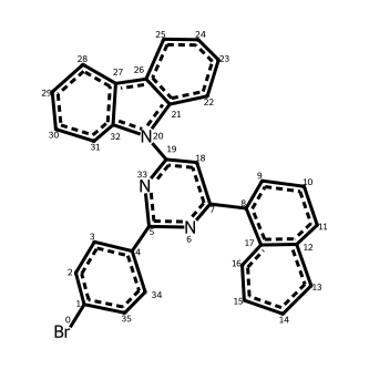 Brc1ccc(-c2nc(-c3cccc4ccccc34)cc(-n3c4ccccc4c4ccccc43)n2)cc1